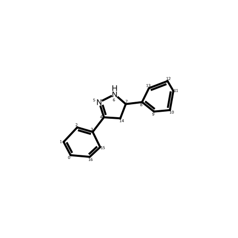 c1ccc(C2=NNC(c3ccccc3)C2)cc1